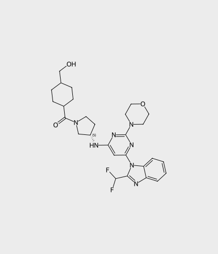 O=C(C1CCC(CO)CC1)N1CC[C@H](Nc2cc(-n3c(C(F)F)nc4ccccc43)nc(N3CCOCC3)n2)C1